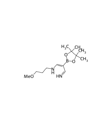 COCCCN/C=C(\C=N)B1OC(C)(C)C(C)(C)O1